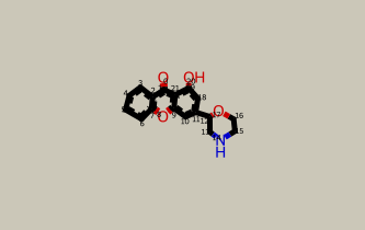 O=c1c2ccccc2oc2cc(C3CNCCO3)cc(O)c12